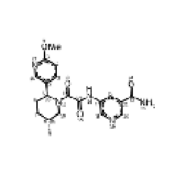 COc1ccc([C@@H]2CC[C@@H](C)CN2C(=O)C(=O)Nc2cncc(C(N)=O)c2)cn1